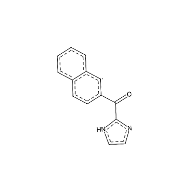 O=C(c1[c]c2ccccc2cc1)c1ncc[nH]1